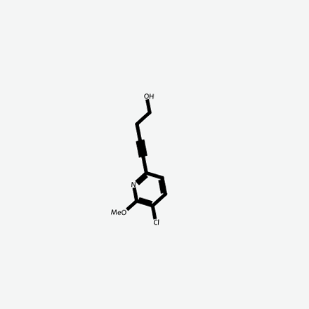 COc1nc(C#CCCO)ccc1Cl